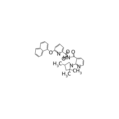 CC1CN(c2ncccc2C(=O)NS(=O)(=O)c2cccc(Oc3cccc4ccccc34)n2)C(C)(C)C1